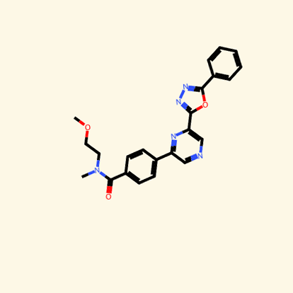 COCCN(C)C(=O)c1ccc(-c2cncc(-c3nnc(-c4ccccc4)o3)n2)cc1